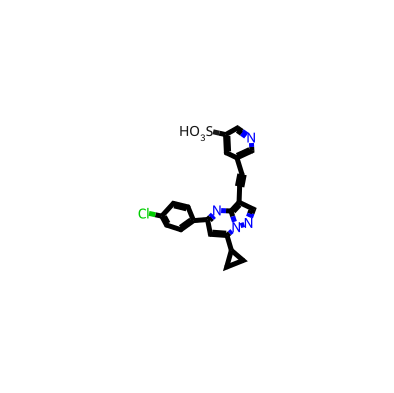 O=S(=O)(O)c1cncc(C#Cc2cnn3c(C4CC4)cc(-c4ccc(Cl)cc4)nc23)c1